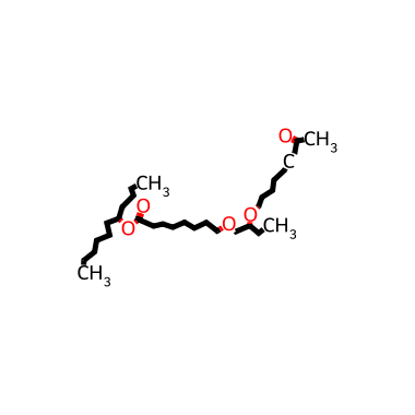 CCCCCCC(CCCC)OC(=O)CCCCCCCOCC(CC)OCCCCCCCC(C)=O